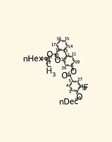 CCCCCCCCCCOc1ccc(C(=O)Oc2ccc(-c3ccccc3C(=O)O[C@H](C)CCCCCC)cc2)cc1F